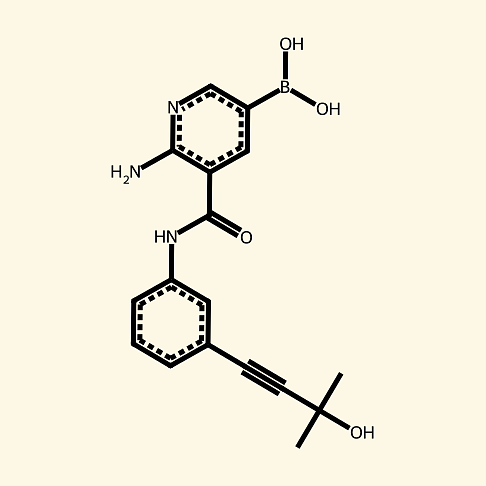 CC(C)(O)C#Cc1cccc(NC(=O)c2cc(B(O)O)cnc2N)c1